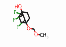 COCOC12CCC(O)(CC1)C(F)(F)C2F